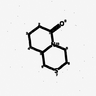 O=C1CCCC2CSCCN12